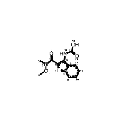 CON(C)C(=O)c1oc2ccccc2c1NC(=O)O